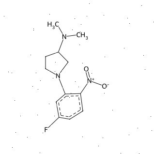 CN(C)C1CCN(c2cc(F)ccc2[N+](=O)[O-])C1